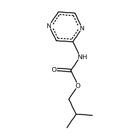 CC(C)COC(=O)Nc1cnccn1